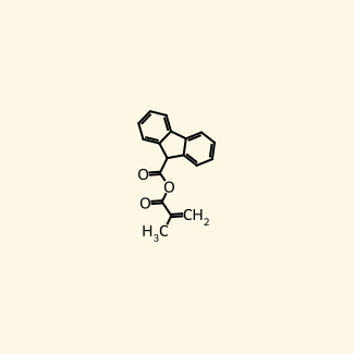 C=C(C)C(=O)OC(=O)C1c2ccccc2-c2ccccc21